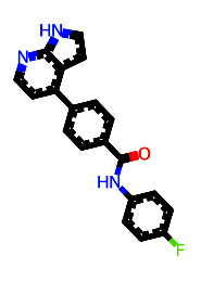 O=C(Nc1ccc(F)cc1)c1ccc(-c2ccnc3[nH]ccc23)cc1